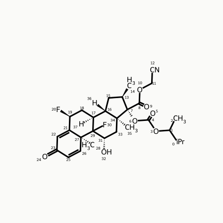 CC(C)C(C)OC(=O)O[C@@]1(C(=O)OCC#N)[C@H](C)C[C@H]2[C@@H]3C[C@H](F)C4=CC(=O)C=C[C@]4(C)C3(F)[C@@H](O)C[C@@]21C